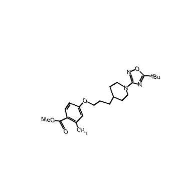 COC(=O)c1ccc(OCCCC2CCN(c3noc(C(C)(C)C)n3)CC2)cc1C